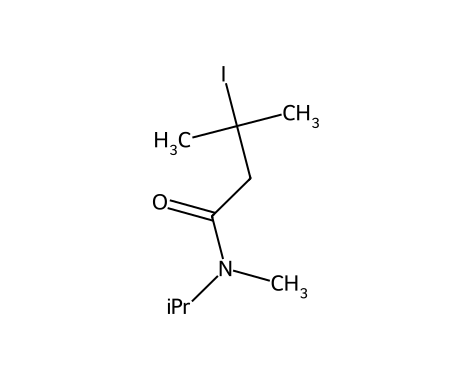 CC(C)N(C)C(=O)CC(C)(C)I